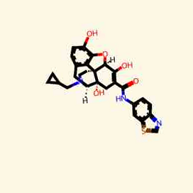 O=C(Nc1ccc2ncsc2c1)C1=C(O)[C@@H]2Oc3c(O)ccc4c3[C@@]23CCN(CC2CC2)[C@H](C4)[C@]3(O)C1